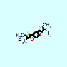 Cc1sc2c(oc3cc4oc5c(C)c(C)sc5c4cc32)c1C